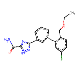 CCOCc1ccc(F)cc1-c1cccc(-c2n[nH]c(C(N)=O)n2)c1